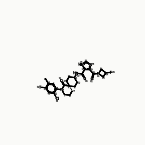 Cc1cc(N2CCC[C@]3(CC[C@H](NC(=O)c4[nH]cnc4C(=O)N4CC(F)C4)CC3)C2=O)c(Cl)cc1F